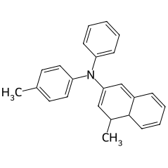 Cc1ccc(N(C2=CC(C)C3C=CC=CC3=C2)c2ccccc2)cc1